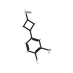 CNC1CC(c2ccc(F)c(C(C)C)c2)C1